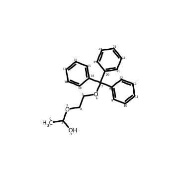 CC(O)OCCOC(c1ccccc1)(c1ccccc1)c1ccccc1